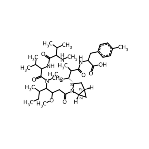 CCC(C)C(C(CC(=O)N1[C@H](C(OC)C(C)C(=O)NC(Cc2ccc(C)cc2)C(=O)O)C[C@@H]2C[C@@H]21)OC)N(C)C(=O)C(NC(=O)C(NC)C(C)C)C(C)C